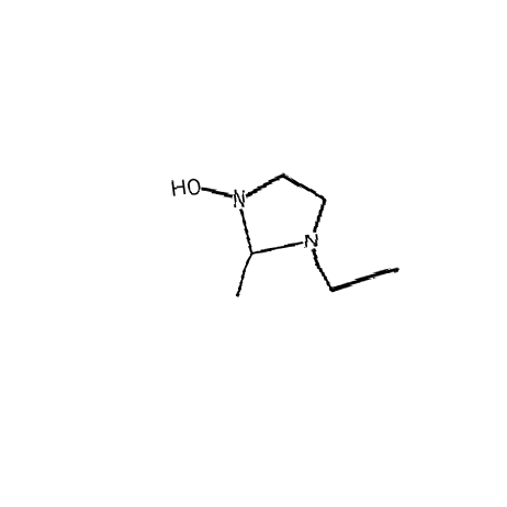 CCN1CCN(O)C1C